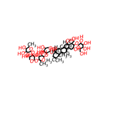 CC1OC(OC2C(O)COC(OC3C(C)OC(OC4C(OC(=O)C56CCC(C)(C)CC5(C)C5=CCC7(C)C8(C)CC(O)C(OC9OC(CO)C(O)C(O)C9O)C(C)(CO)C8C(O)CC7(C)C5(C)CC6O)OCC(O)C4O)C(O)C3O)C2O)C(O)C(O)C1O